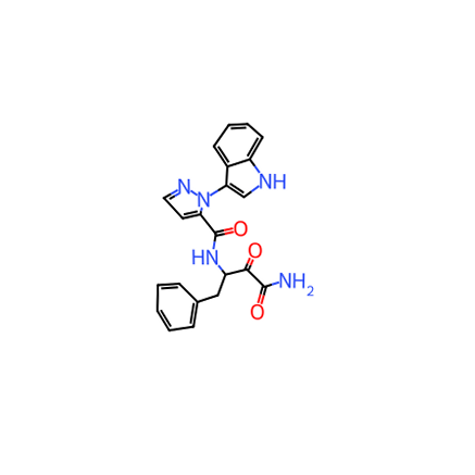 NC(=O)C(=O)C(Cc1ccccc1)NC(=O)c1ccnn1-c1c[nH]c2ccccc12